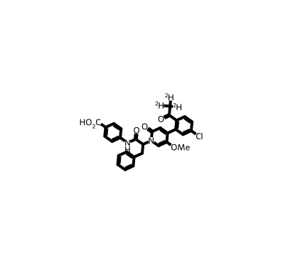 [2H]C([2H])([2H])C(=O)c1ccc(Cl)cc1-c1cc(=O)n(C(Cc2ccccc2)C(=O)Nc2ccc(C(=O)O)cc2)cc1OC